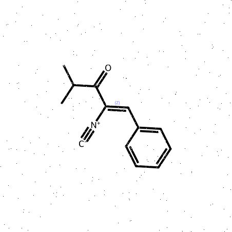 [C-]#[N+]/C(=C\c1ccccc1)C(=O)C(C)C